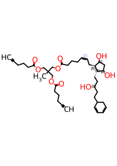 C#CCCCC(=O)OCC(C)(COC(=O)CCCC#C)COC(=O)CCC/C=C\C[C@@H]1[C@@H](CC[C@@H](O)CCC2C=CC=CC2)[C@H](O)C[C@@H]1O